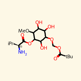 COC1C(O)C(O)C(OCOC(=O)C(C)(C)C)C(O)C1OC(=O)[C@@H](N)C(C)C